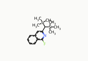 C[Si](C)(C)C(c1cc2ccccc2c(F)n1)[Si](C)(C)C